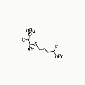 CCCCOC(=O)C(SCCCC(F)CCC)C(C)C